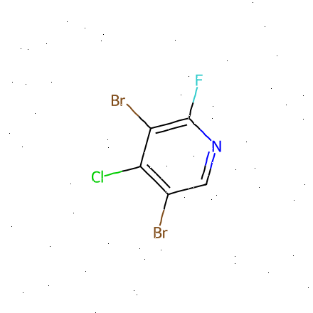 Fc1ncc(Br)c(Cl)c1Br